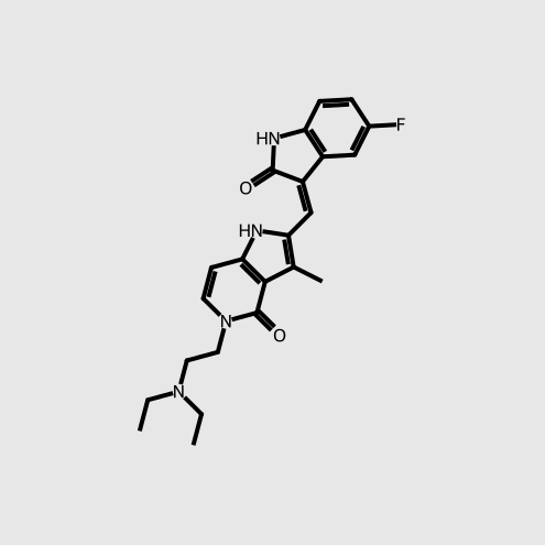 CCN(CC)CCn1ccc2[nH]c(/C=C3\C(=O)Nc4ccc(F)cc43)c(C)c2c1=O